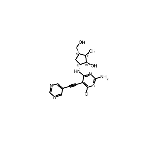 Nc1nc(Cl)c(C#Cc2cncnc2)c(N[C@@H]2C[C@H](CO)[C@@H](O)[C@H]2O)n1